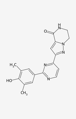 Cc1cc(-c2nccc(-c3cc4n(n3)CCNC4=O)n2)cc(C)c1O